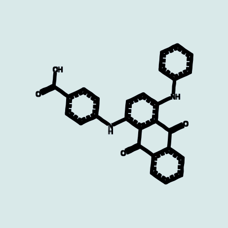 O=C(O)c1ccc(Nc2ccc(Nc3ccccc3)c3c2C(=O)c2ccccc2C3=O)cc1